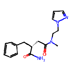 CN(CCn1cccn1)C(=O)C[C@@H](Cc1ccccc1)C(N)=O